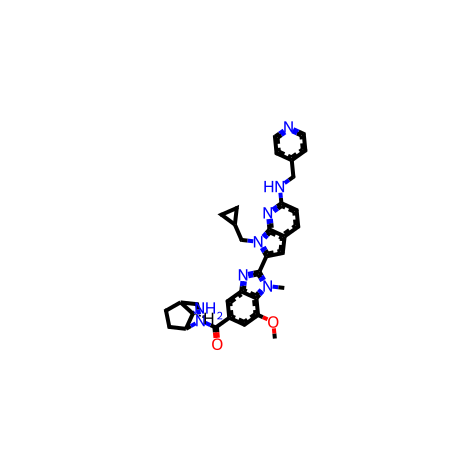 COc1cc(C(=O)N2CC3CCC2[C@@H]3N)cc2nc(-c3cc4ccc(NCc5ccncc5)nc4n3CC3CC3)n(C)c12